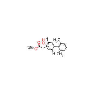 Cc1cccc(C)c1C1=C[C@H]2CC[C@@H]1C[C@@]2(O)CC(=O)OC(C)(C)C